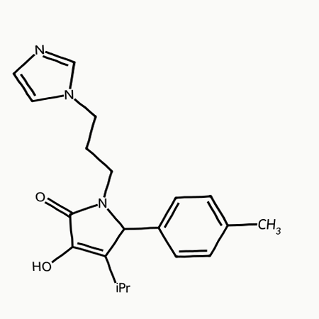 Cc1ccc(C2C(C(C)C)=C(O)C(=O)N2CCCn2ccnc2)cc1